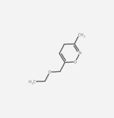 CCOCC1=CCC(C)=NO1